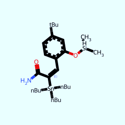 CCC[CH2][Sn]([CH2]CCC)([CH2]CCC)/[C](=C/c1ccc(C(C)(C)C)cc1O[SiH](C)C)C(N)=O